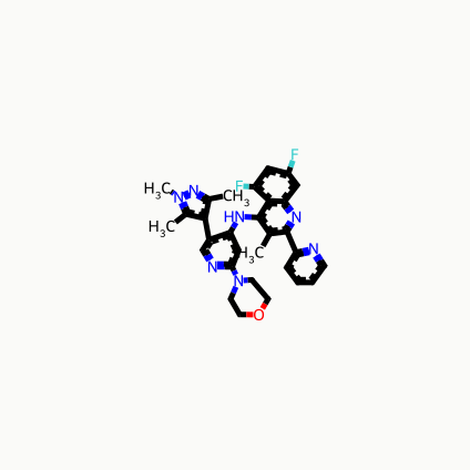 Cc1nn(C)c(C)c1-c1cnc(N2CCOCC2)cc1Nc1c(C)c(-c2ccccn2)nc2cc(F)cc(F)c12